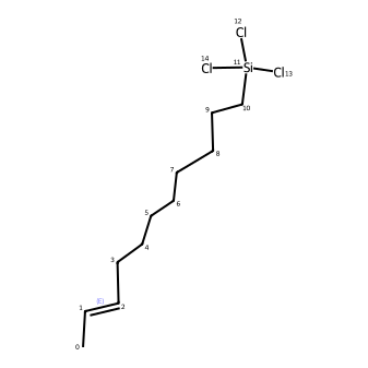 C/C=C/CCCCCCCC[Si](Cl)(Cl)Cl